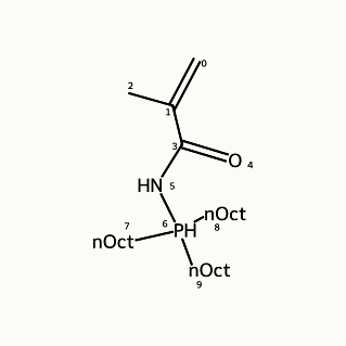 C=C(C)C(=O)N[PH](CCCCCCCC)(CCCCCCCC)CCCCCCCC